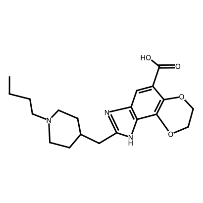 CCCCN1CCC(Cc2nc3cc(C(=O)O)c4c(c3[nH]2)OCCO4)CC1